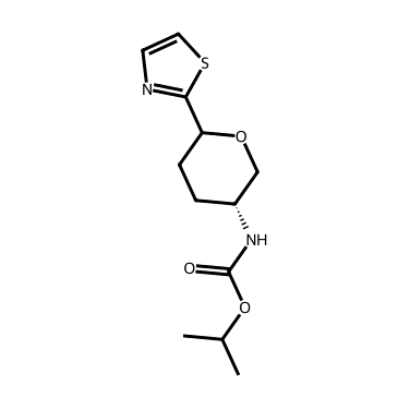 CC(C)OC(=O)N[C@@H]1CCC(c2nccs2)OC1